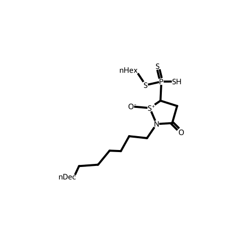 CCCCCCCCCCCCCCCCN1C(=O)CC(P(=S)(S)SCCCCCC)[S+]1[O-]